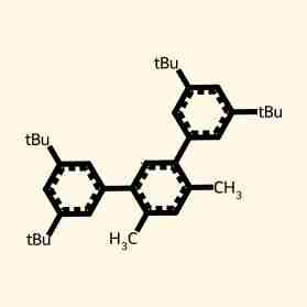 Cc1cc(C)c(-c2cc(C(C)(C)C)cc(C(C)(C)C)c2)[c]c1-c1cc(C(C)(C)C)cc(C(C)(C)C)c1